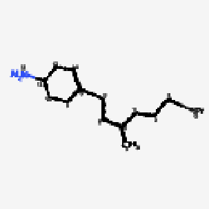 CC(C)CCCC(C)CCC1CCC(N)CC1